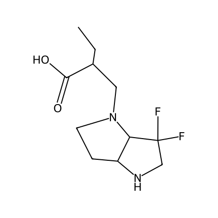 CCC(CN1CCC2NCC(F)(F)C21)C(=O)O